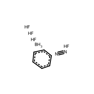 B.F.F.F.F.N#N.c1ccccc1